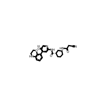 Cc1cnc(NC(=O)[C@H]2CCC[C@@H](NC(=O)CC#N)C2)cc1-c1cccc2c1OCCN2